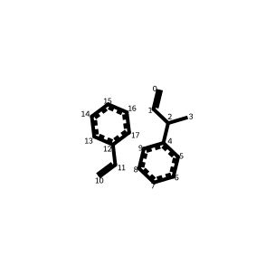 C=CC(C)c1ccccc1.C=Cc1ccccc1